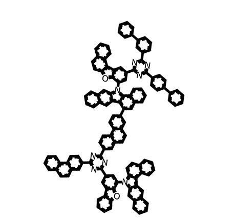 c1ccc(-c2ccc(-c3nc(-c4cccc(-c5ccccc5)c4)nc(-c4cc(-n5c6cc7ccccc7cc6c6c(-c7ccc8c(ccc9cc(-c%10nc(-c%11ccc%12c(ccc%13ccccc%13%12)c%11)nc(-c%11cc(-n%12c%13cc%14ccccc%14cc%13c%13c%14ccccc%14ccc%13%12)c%12oc%13ccccc%13c%12c%11)n%10)ccc98)c7)cc7ccccc7c65)c5oc6ccc7ccccc7c6c5c4)n3)cc2)cc1